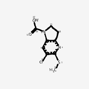 CSc1nc2c(cc1Cl)N(C(=O)O)CC2